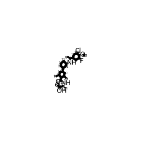 COc1c(F)cc(C(C)Nc2cccc(-c3cc(C)c(C(=O)N[C@@H](C)C(=O)O)c(C)c3)c2)cc1Cl